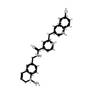 NN1CC=Cc2cc(CNC(=O)c3ccnc(Cc4cnc5ccc(Cl)cc5c4)c3)ccc21